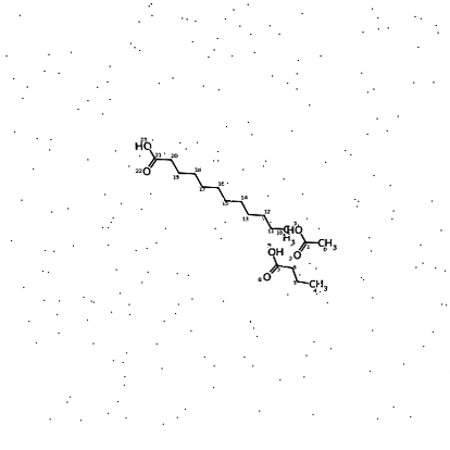 CC(=O)O.CCCC(=O)O.CCCCCCCCCCCC(=O)O